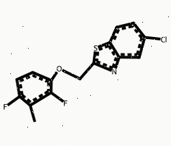 Cc1c(F)ccc(OCc2nc3cc(Cl)ccc3s2)c1F